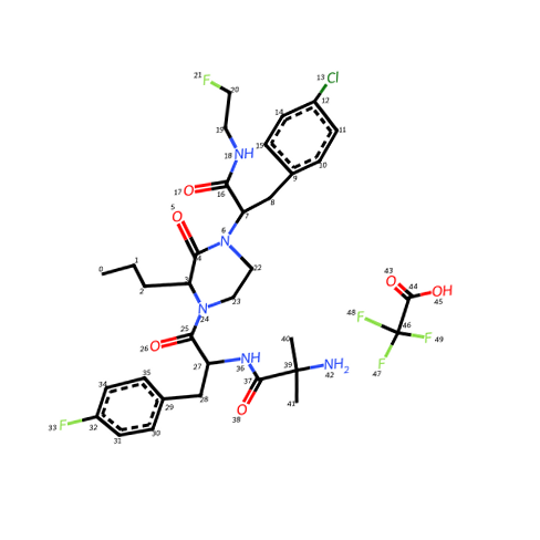 CCCC1C(=O)N(C(Cc2ccc(Cl)cc2)C(=O)NCCF)CCN1C(=O)C(Cc1ccc(F)cc1)NC(=O)C(C)(C)N.O=C(O)C(F)(F)F